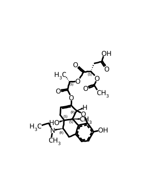 CCN(C)[C@@H]1Cc2ccc(O)c3c2[C@@]2(C)[C@@H](O3)C(OC(=O)[C@H](C)OC(=O)[C@H](CC(=O)O)OC(C)=O)=CC[C@@]12O